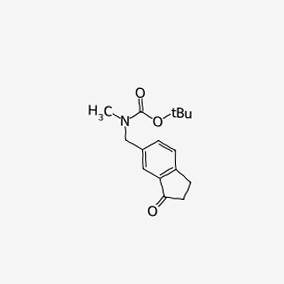 CN(Cc1ccc2c(c1)C(=O)CC2)C(=O)OC(C)(C)C